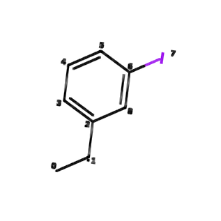 C[CH]c1cccc(I)c1